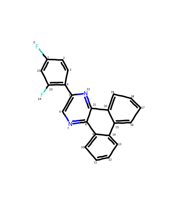 Fc1ccc(-c2cnc3c4ccccc4c4ccccc4c3n2)c(F)c1